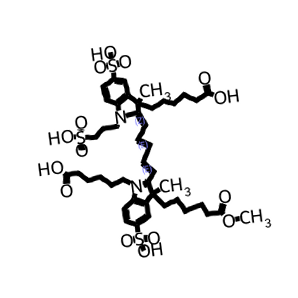 COC(=O)CCCCCC1(C)C(/C=C/C=C/C=C2\N(CCCS(=O)(=O)O)c3ccc(S(=O)(=O)O)cc3C2(C)CCCCCC(=O)O)=[N+](CCCCCC(=O)O)c2ccc(S(=O)(=O)O)cc21